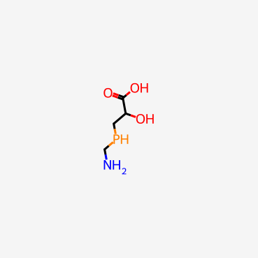 NCPCC(O)C(=O)O